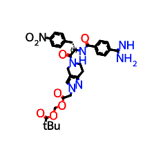 CC(C)(C)C(=O)OCOC(=O)Cn1cc2c(n1)CCN(C(=O)[C@H](Cc1ccc([N+](=O)[O-])cc1)NC(=O)c1ccc(C(=N)N)cc1)C2